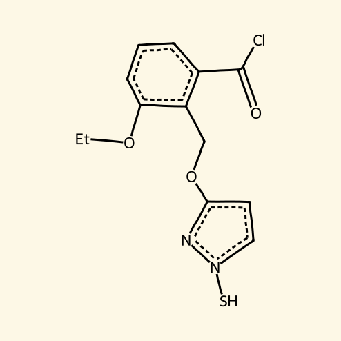 CCOc1cccc(C(=O)Cl)c1COc1ccn(S)n1